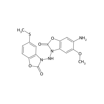 COc1cc2c(cc1N)oc(=O)n2Nn1c(=O)oc2ccc(SC)cc21